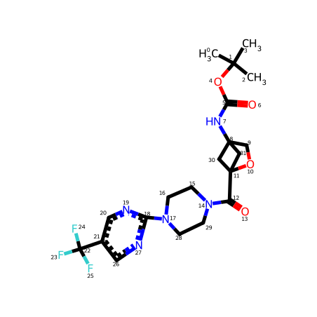 CC(C)(C)OC(=O)NC12COC(C(=O)N3CCN(c4ncc(C(F)(F)F)cn4)CC3)(C1)C2